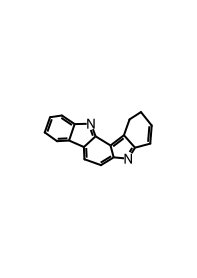 C1=CC2=Nc3ccc4c(c3=C2CC1)=Nc1ccccc1-4